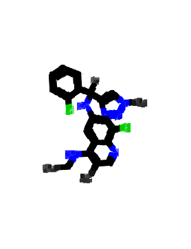 [2H]C(Nc1cc(Cl)c2ncc(C#N)c(NCC(C)(C)C)c2c1)(c1cn(C(C)(C)C)nn1)c1ccccc1Cl